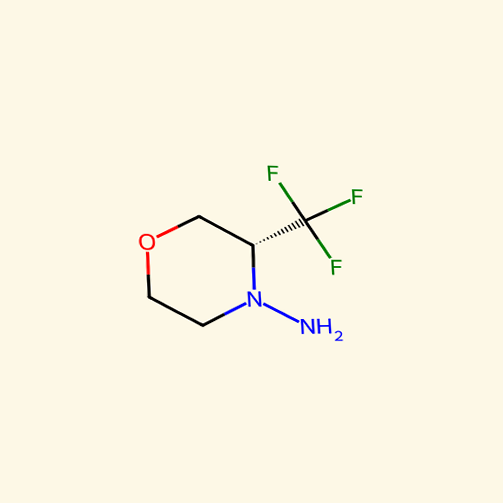 NN1CCOC[C@@H]1C(F)(F)F